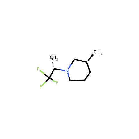 C[C@H]1CCCN([C@@H](C)C(F)(F)F)C1